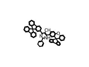 CC1=C(c2ccc3c(c2)C2(c4ccccc4O3)c3ccccc3-c3ccccc32)NC(C2=CCCC=C2)N=C1c1ccc2c(c1)C1(c3ccccc3-c3ccccc31)c1ccccc1-2